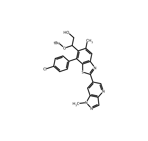 Cc1cc2nc(-c3cnc4cnn(C)c4c3)sc2c(-c2ccc(Cl)cc2)c1C(CO)OC(C)(C)C